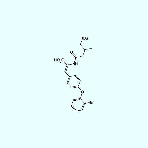 CC(CC(=O)NC(=Cc1ccc(Oc2ccccc2Br)cc1)C(=O)O)CC(C)(C)C